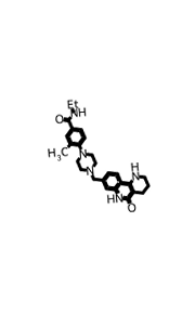 CCNC(=O)c1ccc(N2CCN(Cc3ccc4c5c(c(=O)[nH]c4c3)CCCN5)CC2)c(C)c1